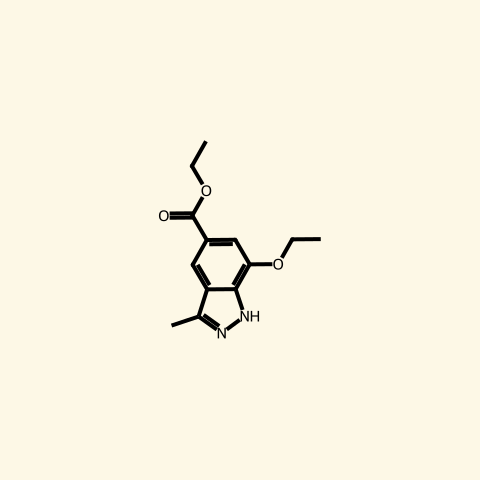 CCOC(=O)c1cc(OCC)c2[nH]nc(C)c2c1